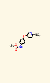 CC(C)(C)OC(=O)Nc1ccc(Oc2ccc([N+](=O)[O-])nc2)cc1